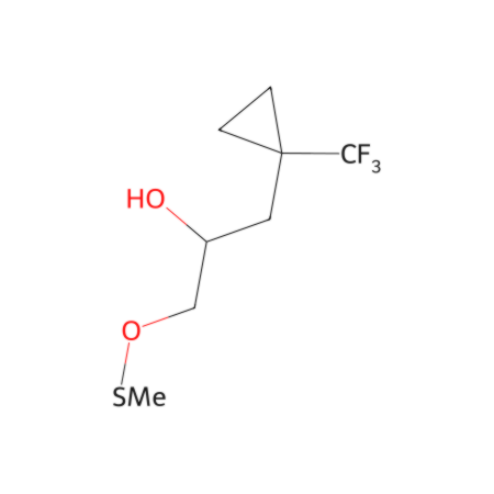 CSOCC(O)CC1(C(F)(F)F)CC1